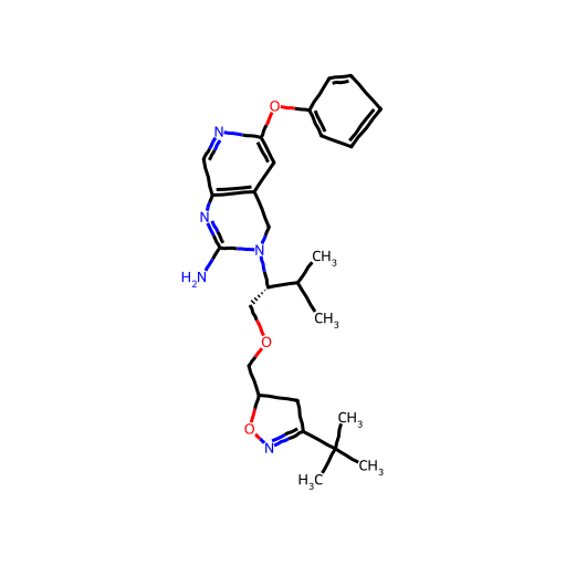 CC(C)[C@H](COCC1CC(C(C)(C)C)=NO1)N1Cc2cc(Oc3ccccc3)ncc2N=C1N